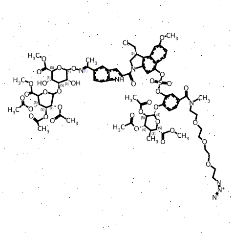 COC(=O)C1OC(O[C@@H]2[C@@H](O)[C@H](O/N=C(\C)c3ccc4[nH]c(C(=O)N5C[C@@H](CCl)c6c5cc(OS(=O)(=O)Oc5cc(C(=O)N(C)CCOCCOCCOCCN=[N+]=[N-])ccc5O[C@@H]5O[C@H](C(=O)OC)[C@@H](C)[C@H](OC(C)=O)[C@H]5OC(C)=O)c5ccc(OC)cc65)cc4c3)O[C@H](C(=O)OC)[C@H]2O)[C@H](OC(C)=O)[C@@H](OC(C)=O)[C@@H]1OC(C)=O